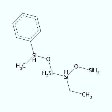 CC[SiH](O[SiH3])[SiH2]O[SiH](C)c1ccccc1